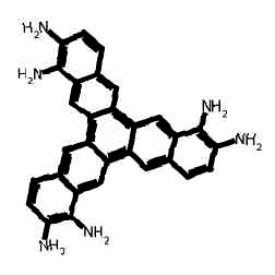 Nc1ccc2cc3c4cc5c(N)c(N)ccc5cc4c4cc5c(N)c(N)ccc5cc4c3cc2c1N